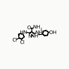 NC(=O)c1c(Nc2ccc(Cl)c(Cl)c2)n[nH]c1NCc1ccc(O)cc1